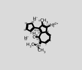 CC1=[C]([Hf+2])C2=CC=CC(=[Si](C)C)C(C)C2=C1C1=CC=CC1.[H-].[H-]